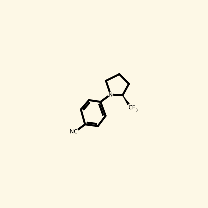 N#Cc1ccc(N2CCC[C@H]2C(F)(F)F)cc1